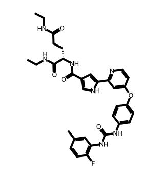 CCNC(=O)CC[C@H](NC(=O)c1c[nH]c(-c2cc(Oc3ccc(NC(=O)Nc4cc(C)ccc4F)cc3)ccn2)c1)C(=O)NCC